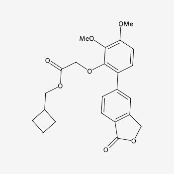 COc1ccc(-c2ccc3c(c2)COC3=O)c(OCC(=O)OCC2CCC2)c1OC